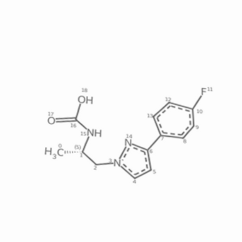 C[C@@H](Cn1ccc(-c2ccc(F)cc2)n1)NC(=O)O